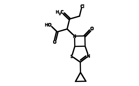 C=C(CCl)C(C(=O)O)N1C(=O)C2N=C(C3CC3)SC21